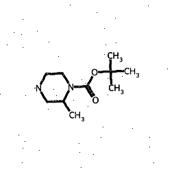 CC1C[N]CCN1C(=O)OC(C)(C)C